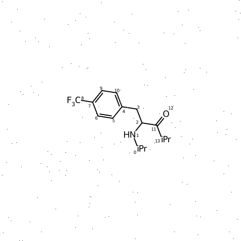 CC(C)NC(Cc1ccc(C(F)(F)F)cc1)C(=O)C(C)C